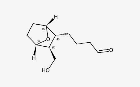 O=CCCC[C@@H]1[C@@H](CO)[C@@H]2CC[C@H]1O2